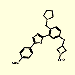 COc1ccc(-c2nnc(-c3cc(OC4CN(C=O)C4)ccc3CN3CCCC3)o2)cc1